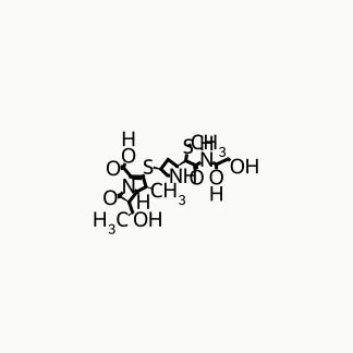 CSC(C(=O)NC(O)CO)[C@@H]1C[C@H](SC2=C(C(=O)O)N3C(=O)[C@H]([C@@H](C)O)[C@H]3[C@H]2C)CN1